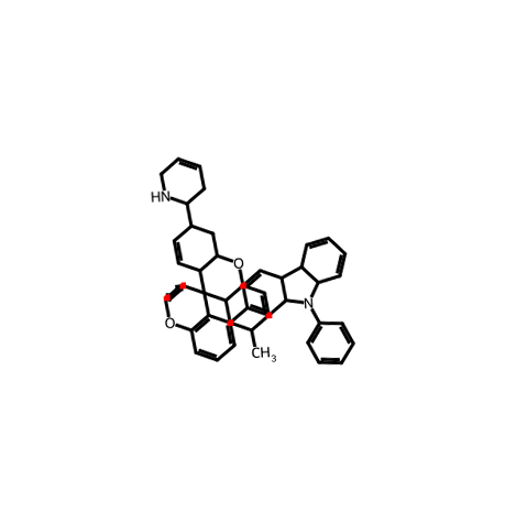 CC1C=CC2OC3CC(C4CC=CCN4)C=CC3C3(c4ccccc4Oc4cccc(C5=CC6C(C=C5)C5C=CC=CC5N6c5ccccc5)c43)C2C1